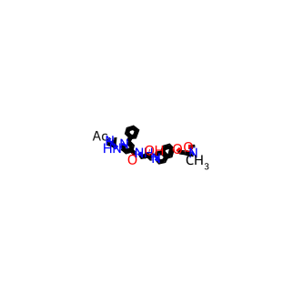 CC(=O)N1CC(Nc2cc(C(=O)NC[C@H](O)CN3CCc4cc(OCc5ocnc5C)ccc4C3)cc(C3CCCCC3)n2)C1